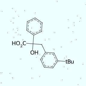 CC(C)(C)c1cccc(CC(O)(C(=O)O)c2ccccc2)c1